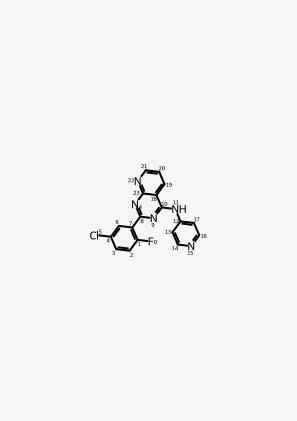 Fc1ccc(Cl)cc1-c1nc(Nc2ccncc2)c2cccnc2n1